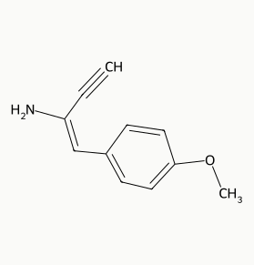 C#C/C(N)=C\c1ccc(OC)cc1